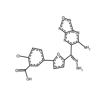 NN=C(c1ccc(-c2ccc(Cl)c(C(=O)O)c2)o1)c1nc2nonc2nc1N